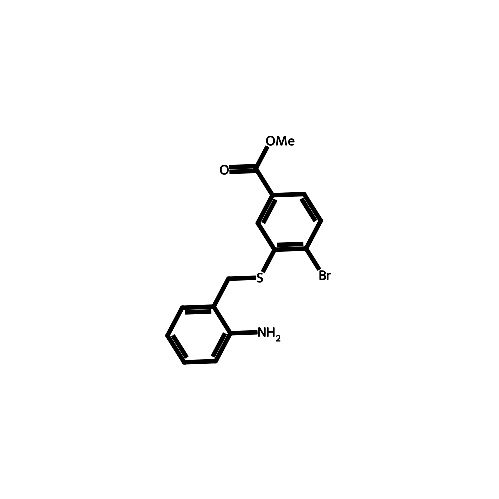 COC(=O)c1ccc(Br)c(SCc2ccccc2N)c1